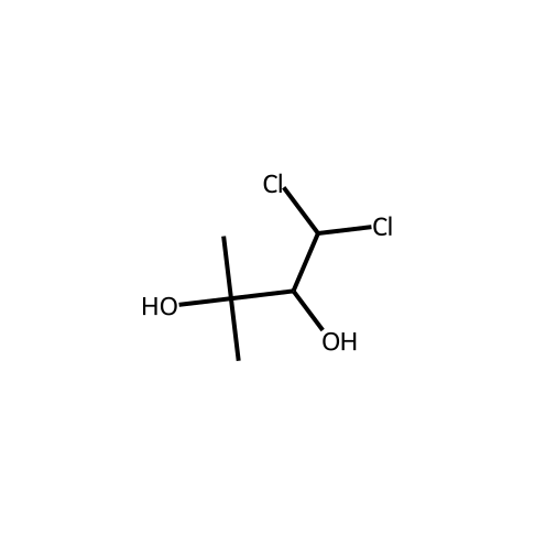 CC(C)(O)C(O)C(Cl)Cl